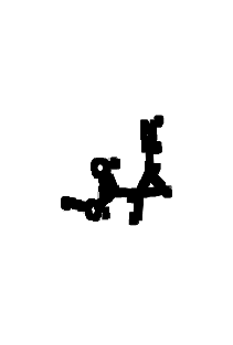 COC(=O)C1(C)CC1C#N